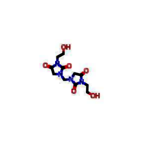 O=C1CN(CN2CC(=O)N(CCO)C2=O)C(=O)N1CCO